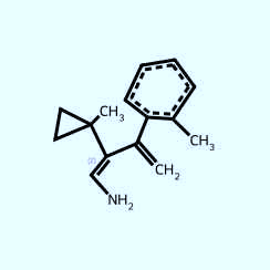 C=C(/C(=C\N)C1(C)CC1)c1ccccc1C